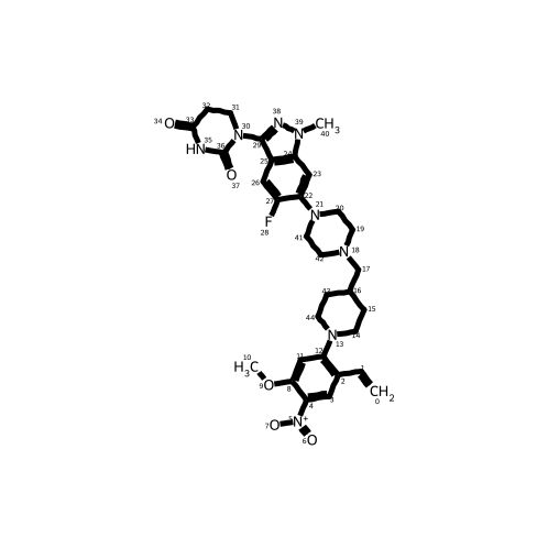 C=Cc1cc([N+](=O)[O-])c(OC)cc1N1CCC(CN2CCN(c3cc4c(cc3F)c(N3CCC(=O)NC3=O)nn4C)CC2)CC1